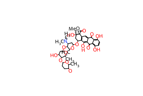 CCC1(O)CC(OC2CC(N(C)C)C(OC3CC(O)C(OC4CCC(=O)C(C)O4)C(C)O3)C(C)O2)c2c(cc3c(c2O)C(=O)c2c(O)ccc(O)c2C3=O)C1C(=O)OC